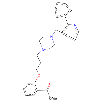 COC(=O)c1ccccc1OCCCN1CCN(Cc2cccnc2-c2ccccc2)CC1